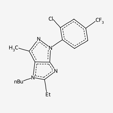 CCCCn1c(CC)nc2c1c(C)nn2-c1ccc(C(F)(F)F)cc1Cl